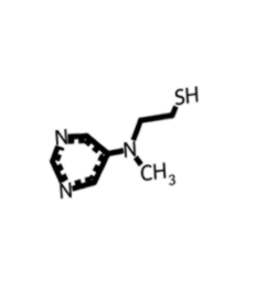 CN(CCS)c1cncnc1